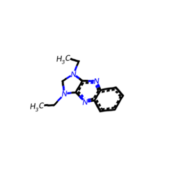 CCN1CN(CC)c2nc3ccccc3nc21